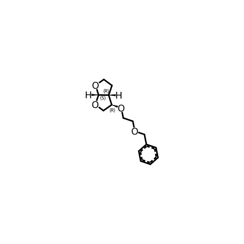 c1ccc(COCCO[C@H]2CO[C@@H]3OCC[C@@H]32)cc1